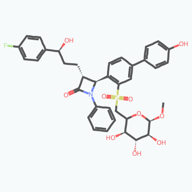 CO[C@@H]1OC(CS(=O)(=O)c2cc(-c3ccc(O)cc3)ccc2[C@@H]2[C@@H](CC[C@H](O)c3ccc(F)cc3)C(=O)N2c2ccccc2)[C@H](O)[C@@H](O)[C@@H]1O